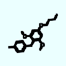 CCCCOc1cc(OC)c(Cc2ccc(C)cc2)c(OC)c1